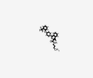 CCCCNC(=O)C1(N=C(c2ccccn2)N2CCC(Oc3ccccc3C(F)(F)F)CC2)CC1